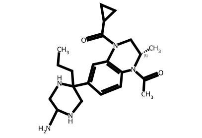 CCCC1(c2ccc3c(c2)N(C(=O)C2CC2)C[C@H](C)N3C(C)=O)CNC(N)CN1